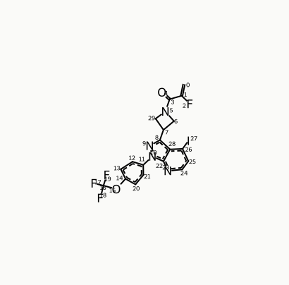 C=C(F)C(=O)N1CC(c2nn(-c3ccc(OC(F)(F)F)cc3)c3nccc(I)c23)C1